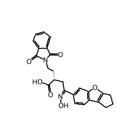 O=C(O)[C@H](CCN1C(=O)c2ccccc2C1=O)CC(=NO)c1ccc2c3c(oc2c1)CCC3